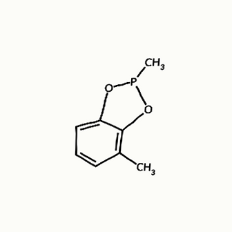 Cc1cccc2c1OP(C)O2